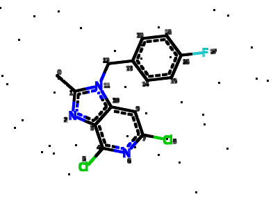 Cc1nc2c(Cl)nc(Cl)cc2n1Cc1ccc(F)cc1